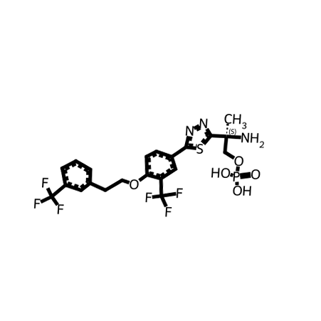 C[C@](N)(COP(=O)(O)O)c1nnc(-c2ccc(OCCc3cccc(C(F)(F)F)c3)c(C(F)(F)F)c2)s1